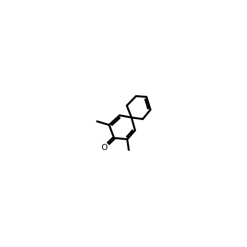 CC1=CC2(C=C(C)C1=O)CC=CCC2